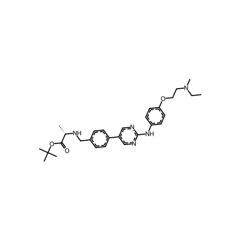 CCN(C)CCOc1ccc(Nc2ncc(-c3ccc(CN[C@@H](C)C(=O)OC(C)(C)C)cc3)cn2)cc1